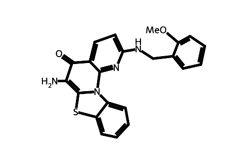 COc1ccccc1CNc1ccc2c(=O)c(N)c3sc4ccccc4n3c2n1